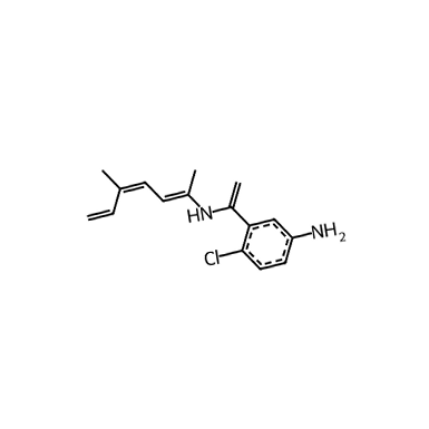 C=C/C(C)=C\C=C(/C)NC(=C)c1cc(N)ccc1Cl